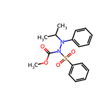 COC(=O)N(N(c1ccccc1)C(C)C)S(=O)(=O)c1ccccc1